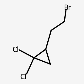 ClC1(Cl)CC1CCBr